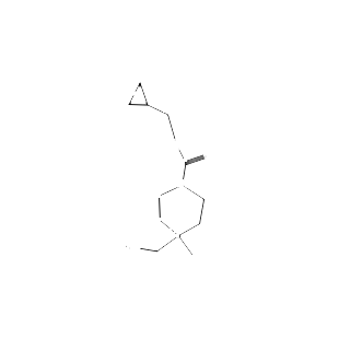 CC1(CC#N)CCN(C(=O)OCC2CC2)CC1